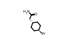 CC(C)[C@H]1CC[C@H](CC(N)=O)CC1